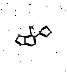 Nc1c(-c2ccsc2)ccc2ncoc12